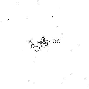 COCOCCCS(=O)(=O)N[C@H](C)c1cccc(OCC(C)(C)C)c1